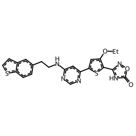 CCOc1cc(-c2cc(NCCc3ccc4sccc4c3)ncn2)sc1-c1noc(=O)[nH]1